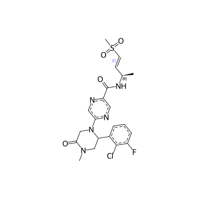 C[C@H](/C=C/S(C)(=O)=O)NC(=O)c1cnc(N2CC(=O)N(C)CC2c2cccc(F)c2Cl)cn1